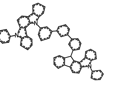 c1ccc(-n2c3ccccc3c3c4c(ccc32)-c2ccccc2C4c2cccc(-c3cccc(-c4cccc(-n5c6ccccc6c6ccc7c(c8ccccc8n7-c7ccccc7)c65)c4)c3)c2)cc1